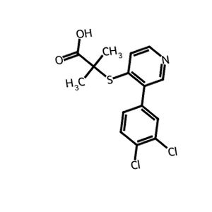 CC(C)(Sc1ccncc1-c1ccc(Cl)c(Cl)c1)C(=O)O